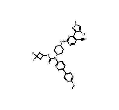 COc1ncc(-c2ccc(N(C(=O)OC3CC(F)(F)C3)[C@H]3CC[C@H](Nc4ncc(C#N)c(-c5n[nH]cc5Cl)n4)CC3)nc2)cn1